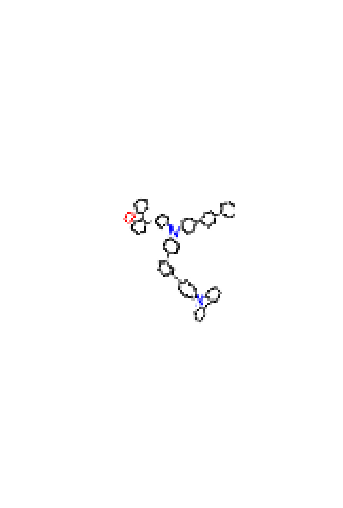 c1ccc(-c2ccc(-c3ccc(N(c4ccc(-c5cccc(-c6ccc(-n7c8ccccc8c8ccccc87)cc6)c5)cc4)c4cccc(-c5cccc6oc7ccccc7c56)c4)cc3)cc2)cc1